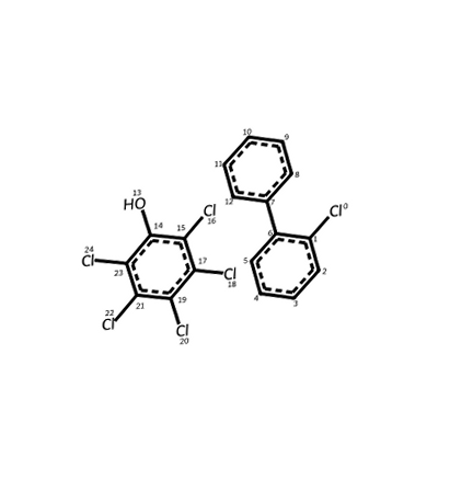 Clc1ccccc1-c1ccccc1.Oc1c(Cl)c(Cl)c(Cl)c(Cl)c1Cl